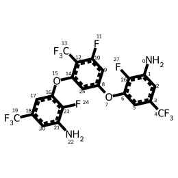 Nc1cc(C(F)(F)F)cc(Oc2cc(F)c(C(F)(F)F)c(Oc3cc(C(F)(F)F)cc(N)c3F)c2)c1F